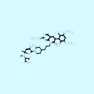 CNc1ncc2cc(-c3c(Cl)c(OC)cc(OC)c3Cl)c(=O)n(CCCC3CCN(C(=O)/C(C#N)=C\C(C)(C)N(C)C4COC4)CC3)c2n1